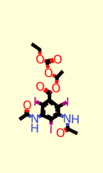 CCOC(=O)OC(C)OC(=O)c1c(I)c(NC(C)=O)c(I)c(NC(C)=O)c1I